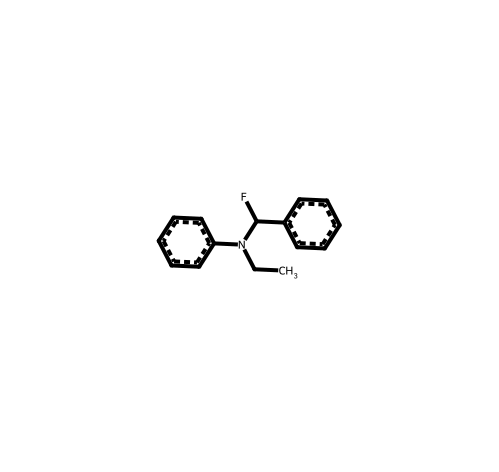 CCN(c1ccccc1)C(F)c1ccccc1